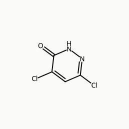 O=c1[nH]nc(Cl)cc1Cl